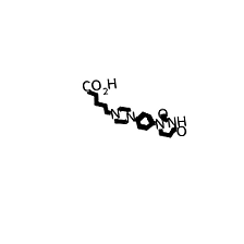 O=C(O)CCCCCN1CCN(c2ccc(N3CCC(=O)NC3=O)cc2)CC1